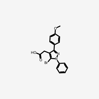 COc1ccc(-c2nn(-c3ccccc3)c(Br)c2CC(=O)O)cc1